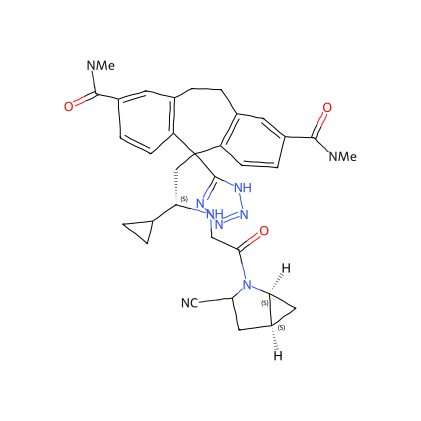 CNC(=O)c1ccc2c(c1)CCc1cc(C(=O)NC)ccc1C2(C[C@H](NCC(=O)N1C(C#N)C[C@@H]2C[C@@H]21)C1CC1)c1nnn[nH]1